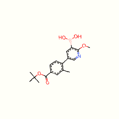 COc1ncc(-c2ccc(C(=O)OC(C)(C)C)cc2C)cc1B(O)O